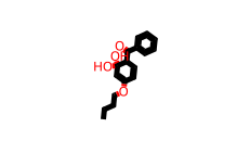 CCCCOC1=CC(O)(O)C(C(=O)c2ccccc2)C=C1